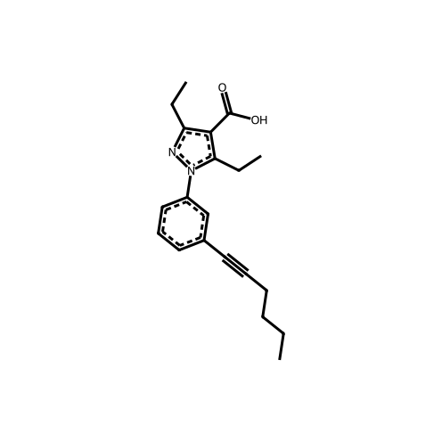 CCCCC#Cc1cccc(-n2nc(CC)c(C(=O)O)c2CC)c1